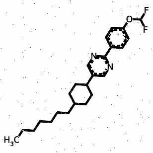 CCCCCCCC1CCC(c2cnc(-c3ccc(OC(F)F)cc3)nc2)CC1